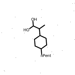 CCCCCC1CCC(C(C)C(O)O)CC1